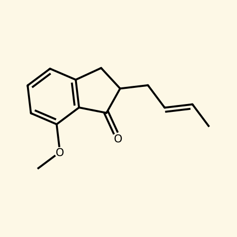 CC=CCC1Cc2cccc(OC)c2C1=O